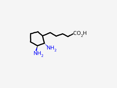 N[C@H]1CCCC(CCCCC(=O)O)[C@@H]1N